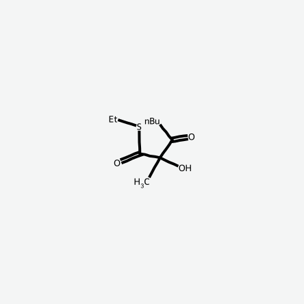 CCCCC(=O)C(C)(O)C(=O)SCC